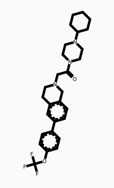 O=C(CN1CCc2cc(-c3ccc(OC(F)(F)F)cc3)ccc2C1)N1CCN(C2CCCCC2)CC1